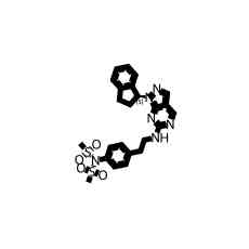 CS(=O)(=O)N(c1ccc(CCNc2ncc3cnn([C@H]4CCc5ccccc54)c3n2)cc1)S(C)(=O)=O